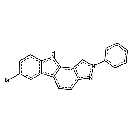 Brc1ccc2[nH]c3c4cn(-c5ccccc5)nc4ccc3c2c1